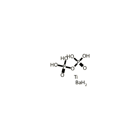 O=P(O)(O)OP(=O)(O)O.[BaH2].[Ti]